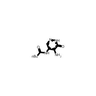 CCCCC(=O)Nc1cn[nH]c(=O)c1N